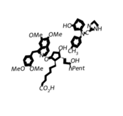 CCCCC[C@H](O)/C=C/[C@H]1[C@H](O)CC(=O)[C@@H]1CCCCCCC(=O)O.COc1ccc(Cc2nccc3cc(OC)c(OC)cc23)cc1OC.Cc1ccc(N(CC2=NCCN2)c2cccc(O)c2)cc1